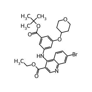 CCOC(=O)c1cnc2cc(Br)ccc2c1Nc1cc(OC2CCOCC2)cc(C(=O)OC(C)(C)C)c1